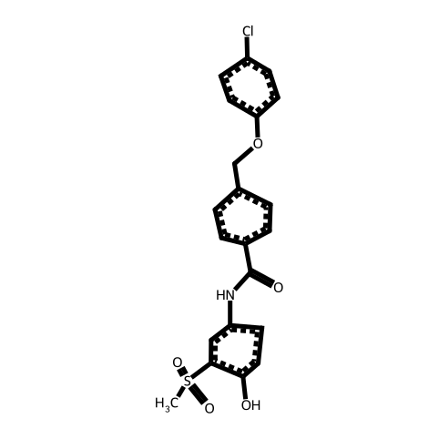 CS(=O)(=O)c1cc(NC(=O)c2ccc(COc3ccc(Cl)cc3)cc2)ccc1O